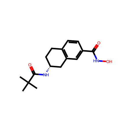 CC(C)(C)C(=O)N[C@@H]1CCc2ccc(C(=O)NO)cc2C1